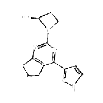 C[C@H]1CCN1c1nc2c(c(-c3cc[nH]n3)n1)CCC2